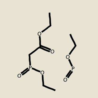 CCOC(=O)C[P](=O)OCC.CCOP=O